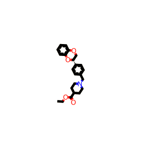 CCOC(=O)C1CCN(Cc2ccc([C@H]3COc4ccccc4O3)cc2)CC1